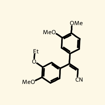 CCOc1cc(/C(=C\C#N)c2ccc(OC)c(OC)c2)ccc1OC